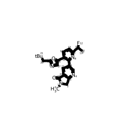 CN1Cc2ncc(-c3nc(C(F)F)ccc3-c3cnc(CC(C)(C)C)o3)cc2C1=O